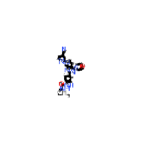 CCNC(=O)Nc1ccc(-c2nc3c(c(N4CCOCC4)n2)CCN(c2cc(C#N)ccn2)C3)cc1